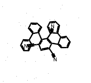 N#Cc1cc(C#N)c(-c2ccccc2-c2ccccc2)c(C#N)c1-c1ccccc1-c1ccccc1